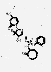 Cc1ccn([C@@H]2O[C@H](COP(=O)(NC3CCCCOC3=O)Oc3ccccc3)[C@@H](O)C2(F)F)c(=O)n1